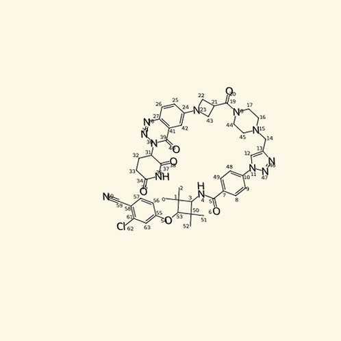 CC1(C)C(NC(=O)c2ccc(-n3cc(CN4CCN(C(=O)C5CN(c6ccc7nnn(C8CCC(=O)NC8=O)c(=O)c7c6)C5)CC4)nn3)cc2)C(C)(C)C1Oc1ccc(C#N)c(Cl)c1